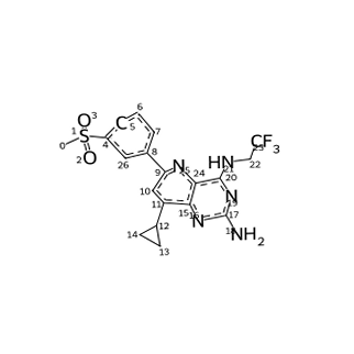 CS(=O)(=O)c1cccc(-c2cc(C3CC3)c3nc(N)nc(NCC(F)(F)F)c3n2)c1